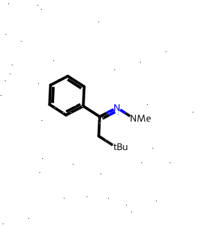 CNN=C(CC(C)(C)C)c1ccccc1